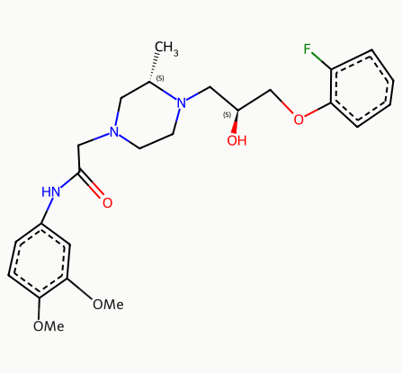 COc1ccc(NC(=O)CN2CCN(C[C@H](O)COc3ccccc3F)[C@@H](C)C2)cc1OC